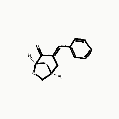 O=C1C(=Cc2ccccc2)C[C@H]2CO[C@@H]1O2